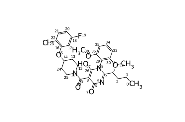 CCCCc1nc(=O)c(C(=O)N2CCC(Oc3cc(F)ccc3Cl)CC2)c(O)n1-c1c(OC)cccc1OC